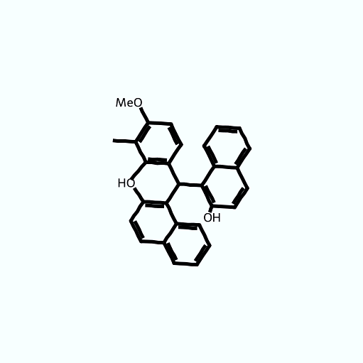 COc1ccc(C(c2c(O)ccc3ccccc23)c2c(O)ccc3ccccc23)c(C)c1C